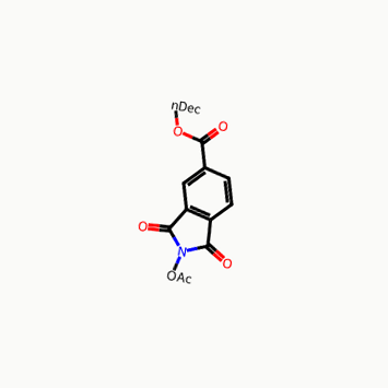 CCCCCCCCCCOC(=O)c1ccc2c(c1)C(=O)N(OC(C)=O)C2=O